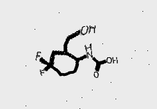 O=C(O)NC1CCC(F)(F)CC1CO